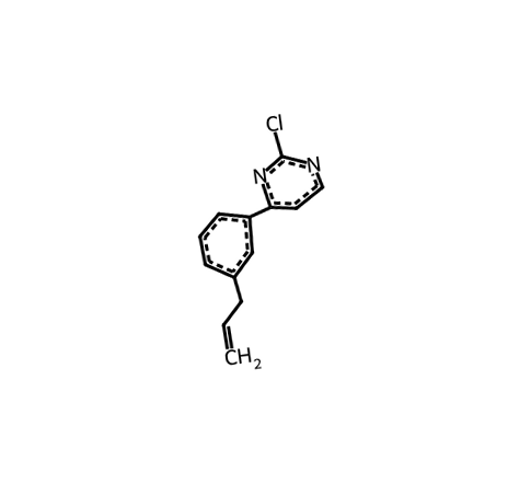 C=CCc1cccc(-c2ccnc(Cl)n2)c1